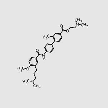 COc1ccc(C(=O)Nc2ccc(-c3ccc(C(=O)OCCN(C)C)cc3C)cc2)cc1CCCN(C)C